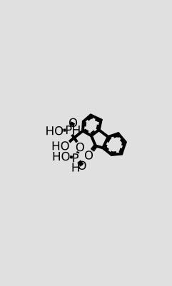 O=C1c2ccccc2-c2cccc(C(O)(O[PH](=O)O)[PH](=O)O)c21